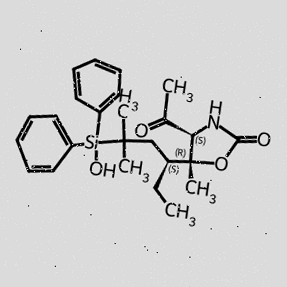 CC[C@@H](CC(C)(C)[Si](O)(c1ccccc1)c1ccccc1)[C@@]1(C)OC(=O)N[C@@H]1C(C)=O